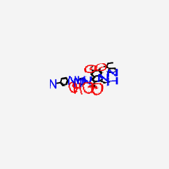 CCc1nc2cc(OC(CC)C3CCNC3)c(OC)cc2c(N2CCN(C(=O)Nc3ccc(C#N)cc3)CC2)c1C(=O)O